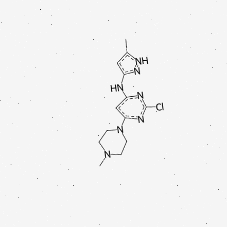 Cc1cc(Nc2cc(N3CCN(C)CC3)nc(Cl)n2)n[nH]1